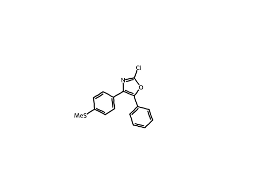 CSc1ccc(-c2nc(Cl)oc2-c2ccccc2)cc1